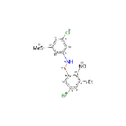 CCc1cc(Br)cc(SNc2cc(Cl)cc(SC)c2)c1N=O